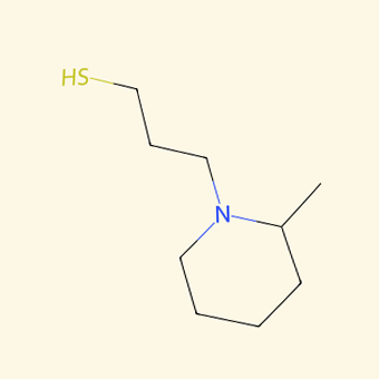 CC1CCCCN1CCCS